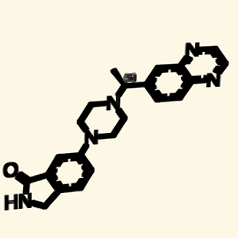 C[C@@H](c1ccc2nccnc2c1)N1CCN(c2ccc3c(c2)C(=O)NC3)CC1